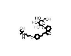 CC(C)(CO)NCCCOc1ccc(CCc2coc3cccc(O[C@@H]4O[C@H](CO)[C@@H](O)[C@H](O)[C@H]4O)c23)cc1